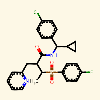 CC(C(Cc1ccccn1)C(=O)NC(c1ccc(Cl)cc1)C1CC1)S(=O)(=O)c1ccc(F)cc1